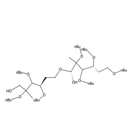 CCCCOCC[C@@H](OCCCC)C(OCCCC)C(C)(OCCCC)[C@H](O)OCC[C@@H](OCCCC)C(OCCCC)C(C)(CO)OCCCC